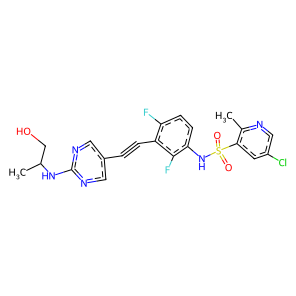 Cc1ncc(Cl)cc1S(=O)(=O)Nc1ccc(F)c(C#Cc2cnc(NC(C)CO)nc2)c1F